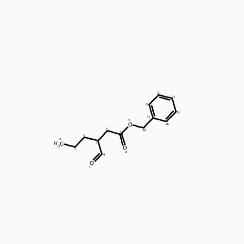 CCCC(C=O)CC(=O)OCc1ccccc1